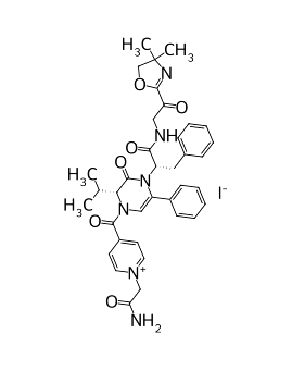 CC(C)[C@@H]1C(=O)N([C@@H](Cc2ccccc2)C(=O)NCC(=O)C2=NC(C)(C)CO2)C(c2ccccc2)=CN1C(=O)c1cc[n+](CC(N)=O)cc1.[I-]